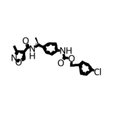 Cc1nocc1C(=O)N[C@@H](C)c1ccc(NC(=O)OCc2ccc(Cl)cc2)cc1